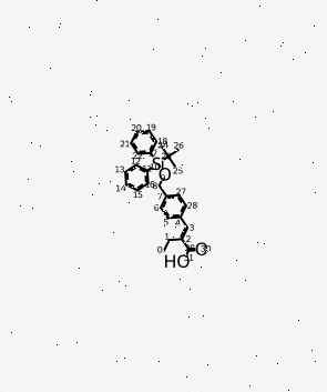 CC/C(=C\c1ccc(CO[Si](c2ccccc2)(c2ccccc2)C(C)(C)C)cc1)C(=O)O